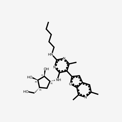 CCCCCNc1nc(C)c(-c2cc3cc(C)nc(C)c3o2)c(N[C@@H]2C[C@H](CO)[C@@H](O)[C@H]2O)n1